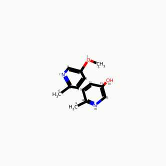 COc1ccc(C)nc1.Cc1ccc(O)cn1